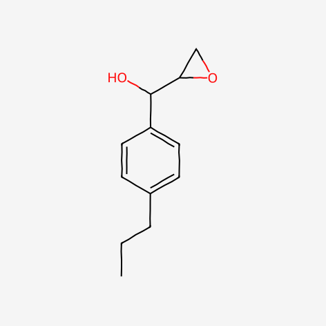 CCCc1ccc(C(O)C2CO2)cc1